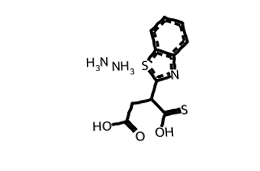 N.N.O=C(O)CC(C(O)=S)c1nc2ccccc2s1